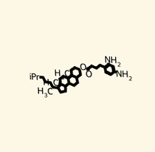 CC(C)CCCC(C)C1CCC2C3CCC4CC(OC(=O)CCCc5ccc(N)cc5N)CCC4(C)C3CCC12C